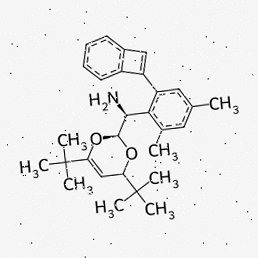 Cc1cc(C)c([C@H](N)[C@@H]2OC(C(C)(C)C)=CC(C(C)(C)C)O2)c(C2=Cc3ccccc32)c1